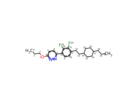 CCCOc1ccc(-c2ccc(CCC3CCC(CCC)CC3)c(F)c2F)nn1